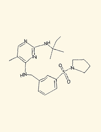 Cc1cnc(NC(C)(C)C)nc1Nc1cccc(S(=O)(=O)N2CCCC2)c1